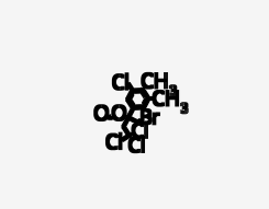 Cc1cc(C(CBr)(CC(Cl)(Cl)Cl)OC=O)cc(Cl)c1C